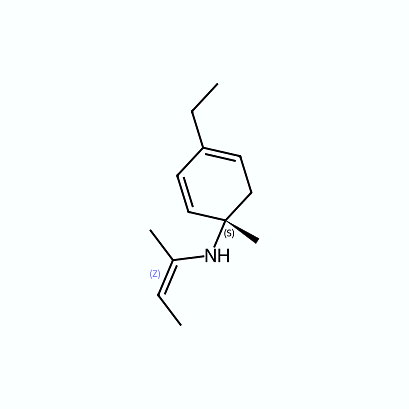 C/C=C(/C)N[C@]1(C)C=CC(CC)=CC1